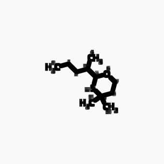 CCCC(C)C1OCCC(C)(C)S1